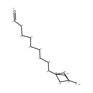 O=CCCCCCCCCC12CC(F)(C1)C2